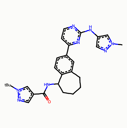 Cn1cc(Nc2nccc(-c3ccc4c(c3)CCCCC4NC(=O)c3cnn(C(C)(C)C)c3)n2)cn1